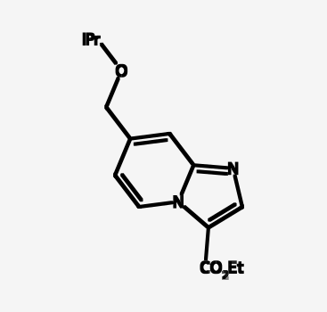 CCOC(=O)c1cnc2cc(COC(C)C)ccn12